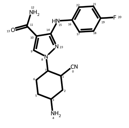 N#CC1CC(N)CCC1n1cc(C(N)=O)c(Nc2ccc(F)cc2)n1